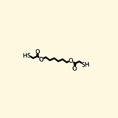 O=C(CS)OCCCCCCOC(=O)CS